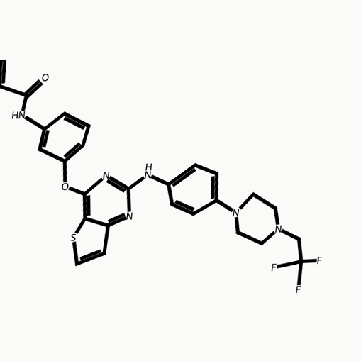 C=CC(=O)Nc1cccc(Oc2nc(Nc3ccc(N4CCN(CC(F)(F)F)CC4)cc3)nc3ccsc23)c1